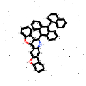 c1ccc2c(-c3c4ccccc4c(-c4nc5cc6c(cc5c5oc7ccccc7c45)oc4ccccc46)c4ccccc34)cccc2c1